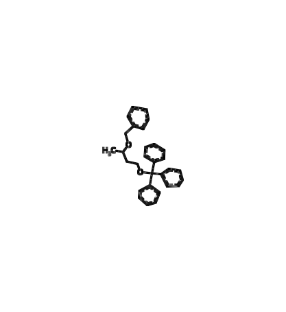 CC(CCOC(c1ccccc1)(c1ccccc1)c1ccccc1)OCc1ccccc1